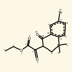 CCOC(=O)C(=O)C1CC(C)(C)c2ccc(Br)cc2C1=O